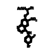 CCC(COc1cc2ncnc(Nc3ccc(Br)cc3F)c2cc1[N+](=O)[O-])NC(C)=O